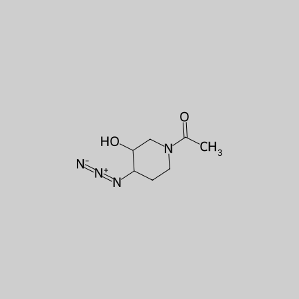 CC(=O)N1CCC(N=[N+]=[N-])C(O)C1